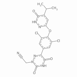 CC(C)c1cc(Oc2c(Cl)cc(-c3nn(CC#N)c(=O)[nH]c3=O)cc2Cl)n[nH]c1=O